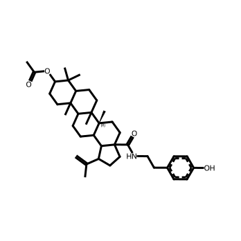 C=C(C)C1CCC2(C(=O)NCCc3ccc(O)cc3)CC[C@]3(C)C(CCC4C5(C)CCC(OC(C)=O)C(C)(C)C5CCC43C)C12